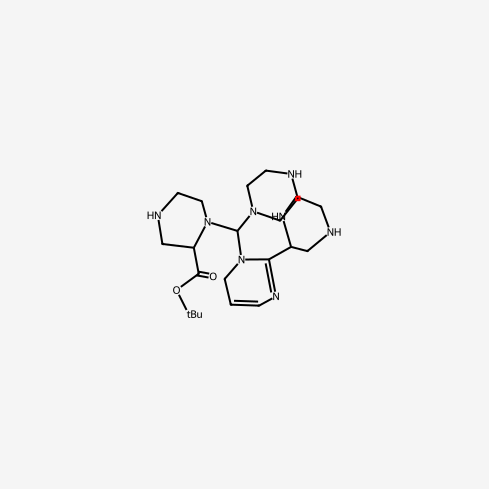 CC(C)(C)OC(=O)C1CNCCN1C(N1CCNCC1)N1CC=CN=C1C1CNCCN1